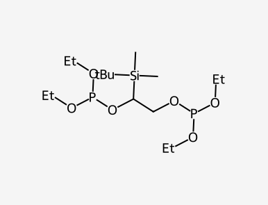 CCOP(OCC)OCC(OP(OCC)OCC)[Si](C)(C)C(C)(C)C